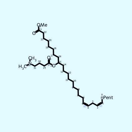 CCCCC/C=C\C/C=C\CCCCCCCCCC(CCCCCCCC(=O)OC)OC(=O)CCCN(C)C